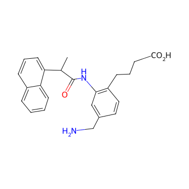 CC(C(=O)Nc1cc(CN)ccc1CCCC(=O)O)c1cccc2ccccc12